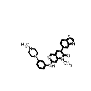 CN1CCN(c2cccc(Nc3cc4c(cn3)cc(-c3ccc5scnc5c3)c(=O)n4C)c2)CC1